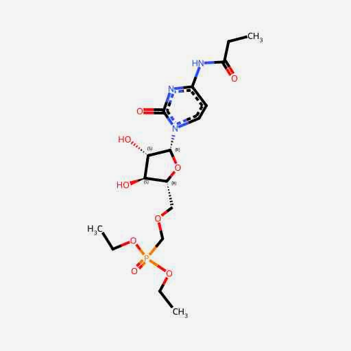 CCOP(=O)(COC[C@H]1O[C@@H](n2ccc(NC(=O)CC)nc2=O)[C@@H](O)[C@@H]1O)OCC